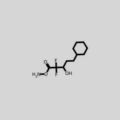 NOC(=O)C(F)(F)C(O)CCC1CCCCC1